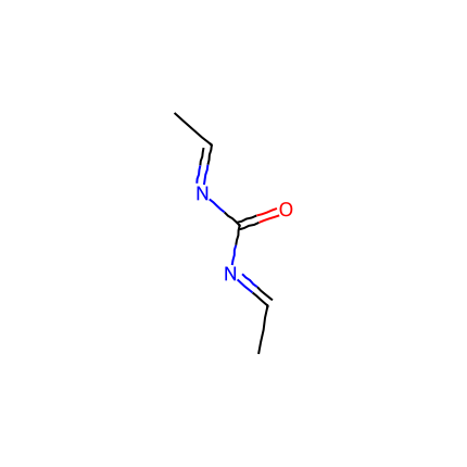 C/C=N/C(=O)/N=C/C